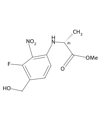 COC(=O)[C@@H](C)Nc1ccc(CO)c(F)c1[N+](=O)[O-]